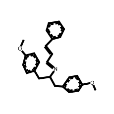 COc1ccc(CC(Cc2ccc(OC)cc2)N=C/C=C/c2ccccc2)cc1